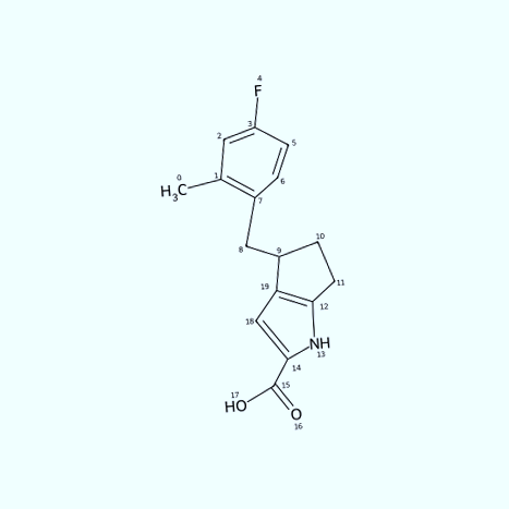 Cc1cc(F)ccc1CC1CCc2[nH]c(C(=O)O)cc21